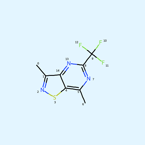 Cc1nsc2c(C)nc(C(F)(F)F)nc12